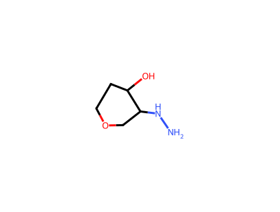 NNC1COCCC1O